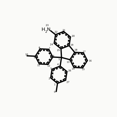 Cc1ccc(C2(c3ccc(C)cc3)c3ccccc3-c3ccc(N)cc32)cc1